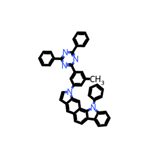 Cc1cc(-c2nc(-c3ccccc3)nc(-c3ccccc3)n2)cc(-n2ccc3cc4ccc5c6ccccc6n(-c6ccccc6)c5c4cc32)c1